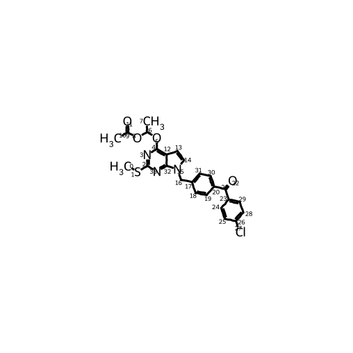 CSc1nc(OC(C)OC(C)=O)c2ccn(Cc3ccc(C(=O)c4ccc(Cl)cc4)cc3)c2n1